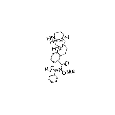 CON(C(=O)c1cccc2c1CCN1C[C@H]3CCCN[C@H]3C[C@@H]21)[C@H](C)c1ccccc1